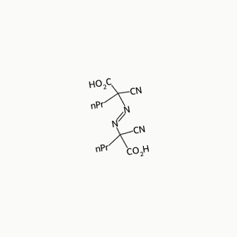 CCCC(C#N)(/N=N/C(C#N)(CCC)C(=O)O)C(=O)O